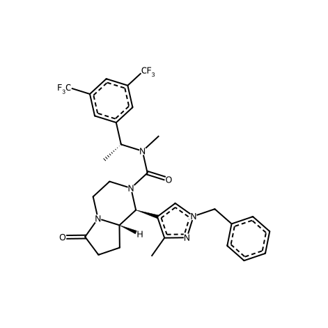 Cc1nn(Cc2ccccc2)cc1[C@H]1[C@@H]2CCC(=O)N2CCN1C(=O)N(C)[C@H](C)c1cc(C(F)(F)F)cc(C(F)(F)F)c1